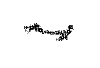 Cc1ncsc1-c1ccc(CNC(=O)[C@@H]2C[C@@H](O)CN2C(=O)C(NC(=O)COCCOCCOCCOc2ccc(N3C(=S)N(c4cnc(C#N)c(C(F)(F)F)c4)C(=O)C3(C)C)cc2)C(C)(C)C)cc1